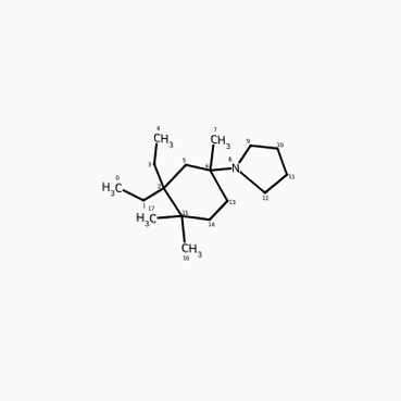 CCC1(CC)CC(C)(N2CCCC2)CCC1(C)C